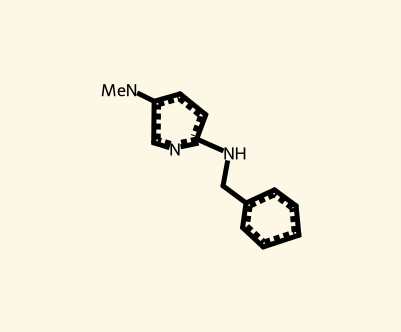 CNc1ccc(NCc2ccccc2)nc1